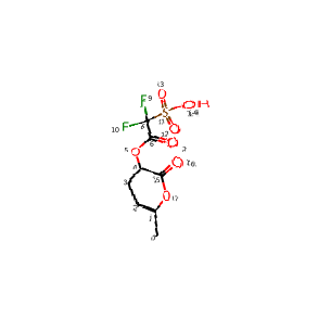 CC1CCC(OC(=O)C(F)(F)S(=O)(=O)O)C(=O)O1